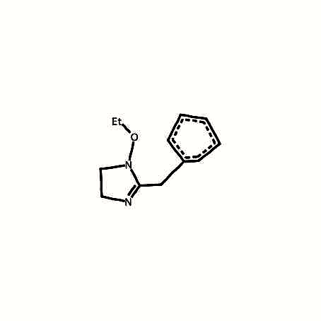 CCON1CCN=C1Cc1ccccc1